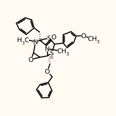 COc1ccc(C2S[C@@]3(Cc4ccccc4)C(=O)N(C)[C@@](COCc4ccccc4)(S2)C2OC2N3C)cc1